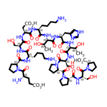 C[C@@H](O)[C@H](NC(=O)[C@H](CCCCN)NC(=O)[C@H](CC(=O)O)NC(=O)[C@H](CO)NC(=O)[C@H](CCCCN)NC(=O)[C@@H]1CCCN1C(=O)[C@@H](N)CCC(=O)O)C(=O)N[C@@H](Cc1c[nH]cn1)C(=O)N[C@H](C(=O)N[C@@H](CO)C(=O)N1CCC[C@H]1C(=O)N1CCC[C@H]1C(=O)N[C@@H](CO)C(=O)N1CCC[C@H]1C(=O)O)[C@@H](C)O